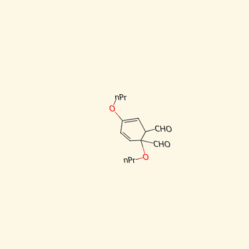 CCCOC1=CC(C=O)C(C=O)(OCCC)C=C1